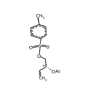 C=C[C@H](COS(=O)(=O)c1ccc(C)cc1)OC(C)=O